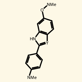 CNOc1cc[c]2c(c1)N[C](c1ccc(NC)cc1)=[Y]2